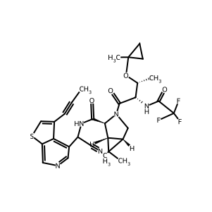 CC#Cc1csc2cncc(C(C#N)NC(=O)[C@@H]3[C@@H]4[C@H](CN3C(=O)[C@@H](NC(=O)C(F)(F)F)[C@@H](C)OC3(C)CC3)C4(C)C)c12